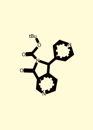 CC(C)(C)OC(=O)N1C(=O)c2cnccc2C1c1ccncc1